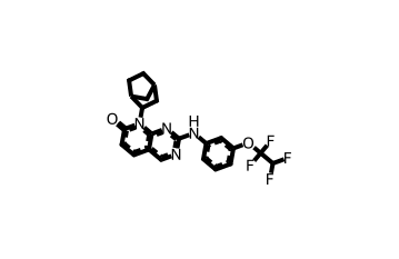 O=c1ccc2cnc(Nc3cccc(OC(F)(F)C(F)F)c3)nc2n1C1CC2CCC1C2